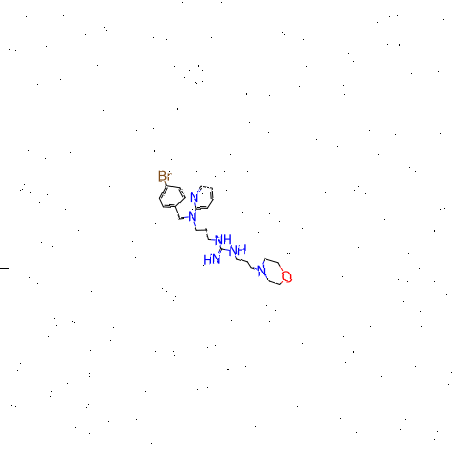 N=C(NCCCN1CCOCC1)NCCCN(Cc1ccc(Br)cc1)c1ccccn1